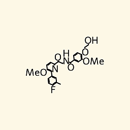 COc1cc(C(=O)NCC(=O)c2ccc(OC)c(-c3ccc(F)c(C)c3)n2)ccc1OCCO